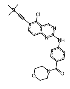 C[Si](C)(C)C#Cc1ccc2nc(Nc3ccc(C(=O)N4CCOCC4)cc3)ncc2c1Cl